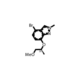 COC[C@H](C)Oc1ccc(Br)c2cn(C)nc12